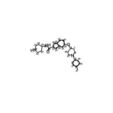 Cc1ccc(N2CCC(Oc3ccc4sc(C(=O)NC5CCNCC5)cc4c3)CC2)cc1